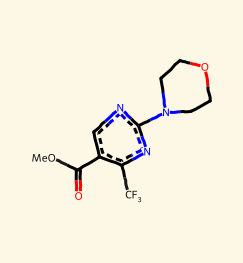 COC(=O)c1cnc(N2CCOCC2)nc1C(F)(F)F